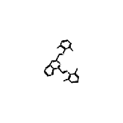 Cc1cccc(C)c1/N=C/c1cc2ccccc2c(/C=N/c2c(C)cccc2C)n1